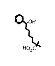 CC(C)(CCCCC[C@H](O)c1ccccc1)C(=O)O